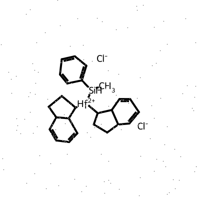 C[SiH](c1ccccc1)[Hf+2]([CH]1CCC2C=CC=CC21)[CH]1CCC2C=CC=CC21.[Cl-].[Cl-]